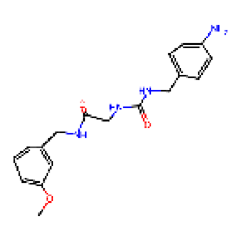 COc1cccc(CNC(=O)CNC(=O)NCc2ccc(N)cc2)c1